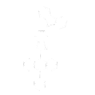 c1ccc(-c2c3ccccc3c(-c3nc4cc(-n5c6ccccc6c6ccccc65)ccc4o3)c3ccccc23)cc1